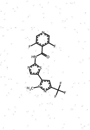 Cn1nc(C(F)(F)F)cc1-c1cnc(NC(=O)c2c(F)cncc2F)s1